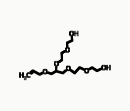 C=CCOCC(COCCOCCO)OCCOCCO